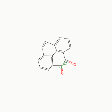 O=C(Cl)c1cccc2ccc3cccc(C(=O)Cl)c3c12